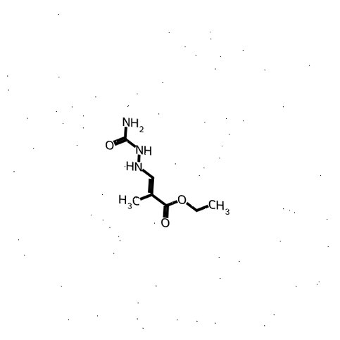 CCOC(=O)C(C)=CNNC(N)=O